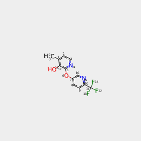 Cc1ccnc(Oc2ccc(C(F)(F)F)nc2)c1O